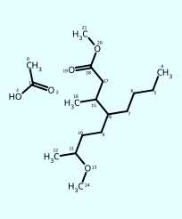 CC(=O)O.CCCCC(CCC(C)OC)C(C)CC(=O)OC